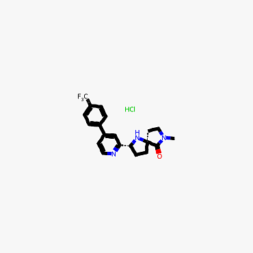 CN1CC[C@@]2(CC[C@H](c3cc(-c4ccc(C(F)(F)F)cc4)ccn3)N2)C1=O.Cl